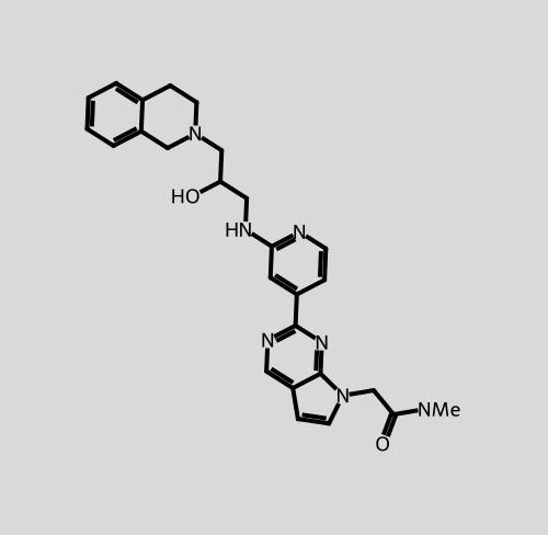 CNC(=O)Cn1ccc2cnc(-c3ccnc(NCC(O)CN4CCc5ccccc5C4)c3)nc21